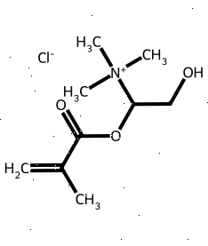 C=C(C)C(=O)OC(CO)[N+](C)(C)C.[Cl-]